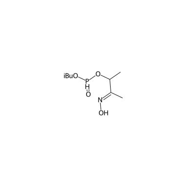 CC(=NO)C(C)O[PH](=O)OCC(C)C